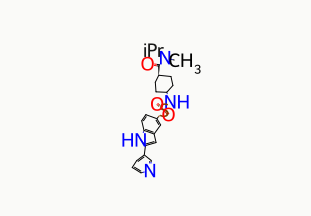 CC(C)N(C)C(=O)[C@H]1CC[C@H](NS(=O)(=O)c2ccc3[nH]c(-c4cccnc4)cc3c2)CC1